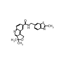 Cc1nc2ccc(CNC(=O)c3ccc4ncc5c(c4c3)COC5(C)C)cc2s1